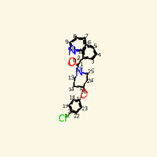 O=C(c1cccc2cccnc12)N1CCC(Oc2ccc(Cl)cc2)CC1